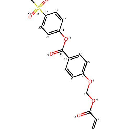 C=CC(=O)OCOc1ccc(C(=O)Oc2ccc(S(C)(=O)=O)cc2)cc1